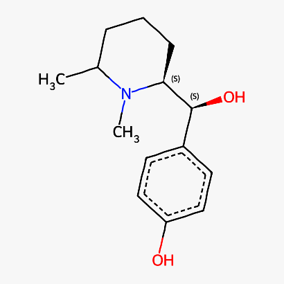 CC1CCC[C@@H]([C@@H](O)c2ccc(O)cc2)N1C